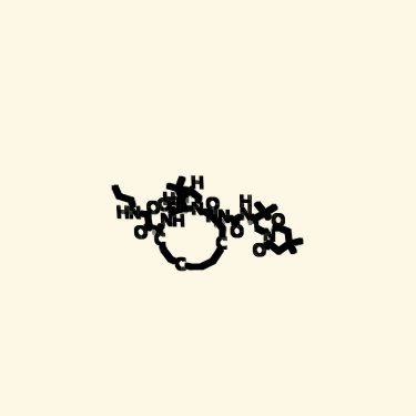 CCCNC(=O)C(=O)[C@@H]1CCCCCCCCCC[C@H](NC(=O)N[C@H](CN2C(=O)CC(C)(C)CC2=O)C(C)(C)C)C(=O)N2C[C@H]3[C@@H]([C@H]2C(=O)N1)C3(C)C